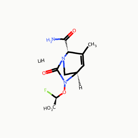 CC1=C[C@@H]2CN(C(=O)N2O[C@H](F)C(=O)O)[C@@H]1C(N)=O.[LiH]